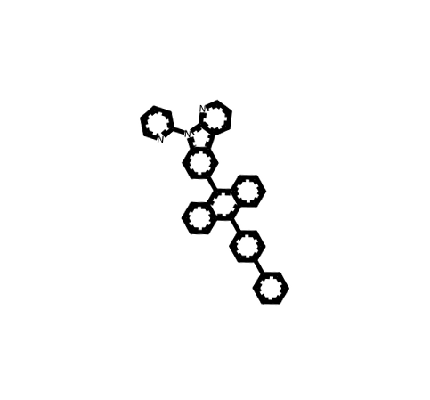 c1ccc(-c2ccc(-c3c4ccccc4c(-c4ccc5c(c4)c4cccnc4n5-c4ccccn4)c4ccccc34)cc2)cc1